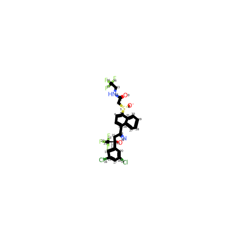 O=C(C[S+]([O-])c1ccc(C2=NO[C@@](c3cc(Cl)cc(Cl)c3)(C(F)(F)F)C2)c2ccccc12)NCC(F)(F)F